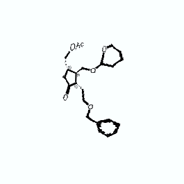 CC(=O)OC[C@H]1CC(=O)[C@@H](CCOCc2ccccc2)[C@@H]1COC1CCCCO1